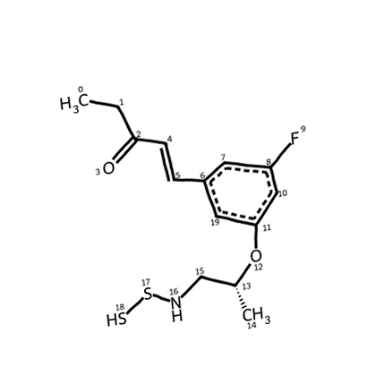 CCC(=O)/C=C/c1cc(F)cc(O[C@H](C)CNSS)c1